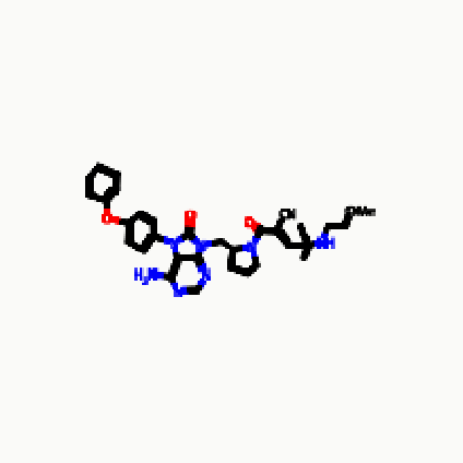 COCCNC(C)(C)C=C(C#N)C(=O)N1CCC[C@H]1Cn1c(=O)n(-c2ccc(Oc3ccccc3)cc2)c2c(N)ncnc21